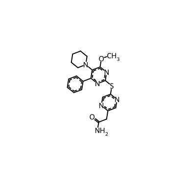 COc1nc(Sc2cnc(CC(N)=O)cn2)nc(-c2ccccc2)c1N1CCCCC1